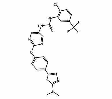 CN(C)c1ncc(-c2ccc(Oc3ncc(NC(=O)Nc4cc(C(F)(F)F)ccc4Cl)cn3)cc2)s1